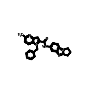 O=C(Nc1ccc2c(c1)nc1n2CCC1)c1cc2nc(C(F)(F)F)ccc2n1Cc1ccncc1